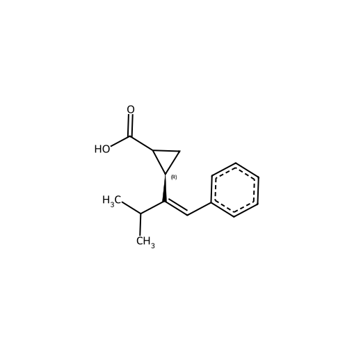 CC(C)C(=Cc1ccccc1)[C@@H]1CC1C(=O)O